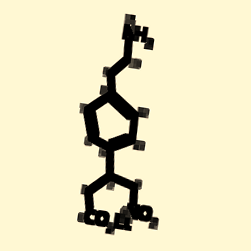 CCOC(=O)CC(C[N+](=O)[O-])c1ccc(CCN)cc1